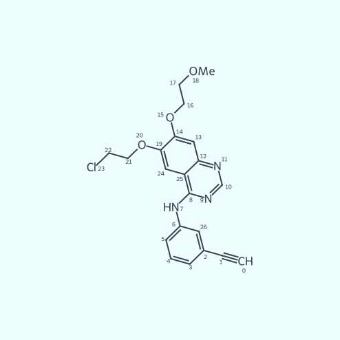 C#Cc1cccc(Nc2ncnc3cc(OCCOC)c(OCCCl)cc23)c1